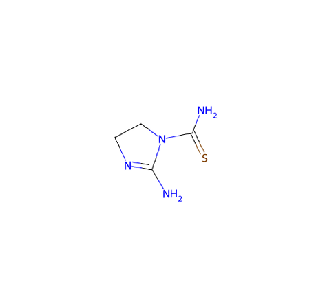 NC(=S)N1CCN=C1N